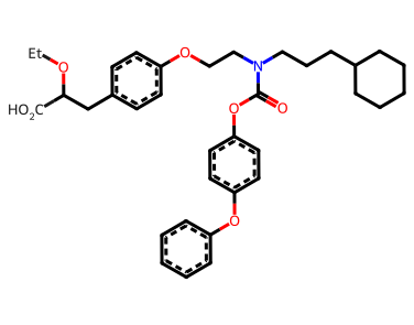 CCOC(Cc1ccc(OCCN(CCCC2CCCCC2)C(=O)Oc2ccc(Oc3ccccc3)cc2)cc1)C(=O)O